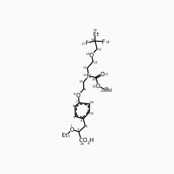 CCOC(Cc1ccc(OCCN(CCOCC(F)(F)CC)C(=O)OC(C)CC)cc1)C(=O)O